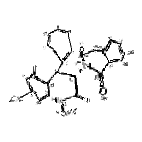 CONC(=O)[C@H]([C@H](c1ccccc1)c1ccc(Cl)cc1)N1C(=O)c2ccccc2C1=O